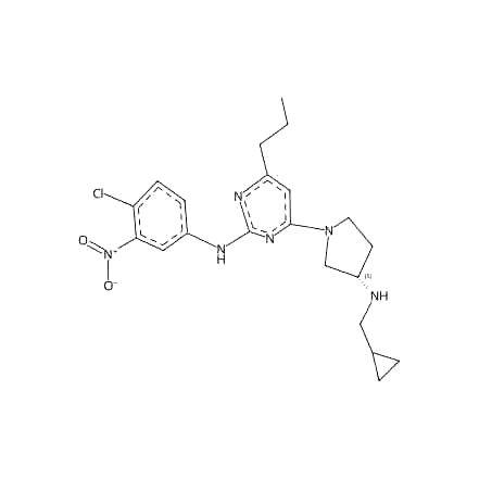 CCCc1cc(N2CC[C@H](NCC3CC3)C2)nc(Nc2ccc(Cl)c([N+](=O)[O-])c2)n1